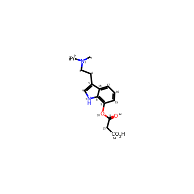 CC(C)N(C)CCc1c[nH]c2c(OC(=O)CC(=O)O)cccc12